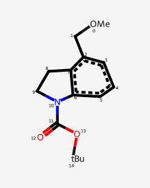 COCc1cccc2c1CCN2C(=O)OC(C)(C)C